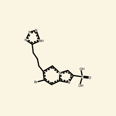 O=P(O)(O)c1cn2cc(CCCc3nnn[nH]3)c(Br)cc2n1